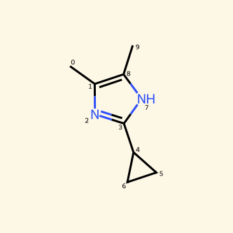 Cc1nc(C2CC2)[nH]c1C